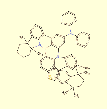 CC(C)(C)c1ccc(N2c3cc(N(c4ccccc4)c4ccccc4)cc4c3B(c3ccc5sc6cc7c(cc6c5c32)C(C)(C)CCC7(C)C)N2c3c-4cccc3C3(C)CCCCC23C)c(-c2ccccc2)c1